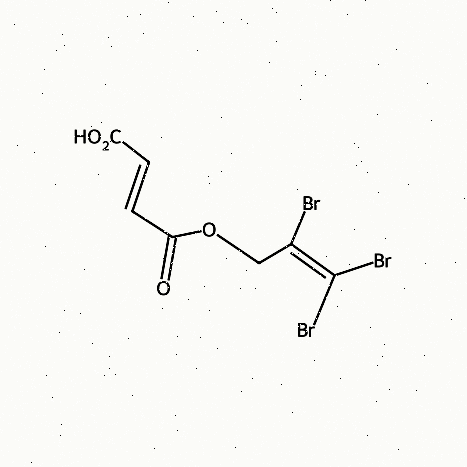 O=C(O)C=CC(=O)OCC(Br)=C(Br)Br